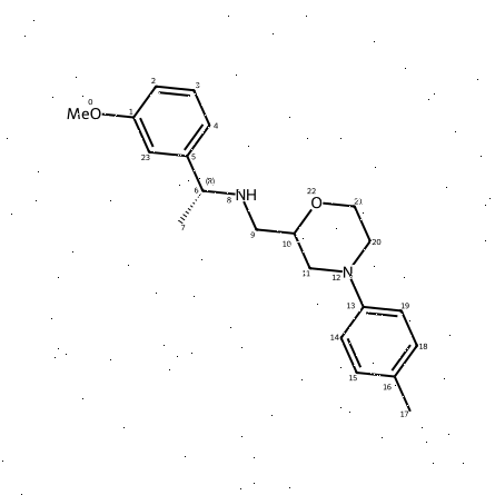 COc1cccc([C@@H](C)NCC2CN(c3ccc(C)cc3)CCO2)c1